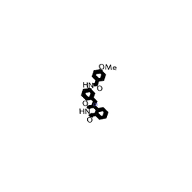 COc1ccc(C(=O)Nc2cccc(/C=C3\C(=O)NC(=O)c4ccccc43)c2)cc1